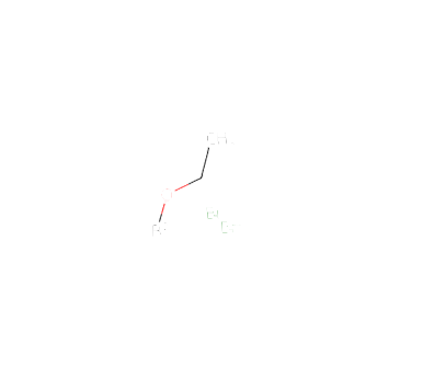 [B+2]OCC.[Br-].[Br-]